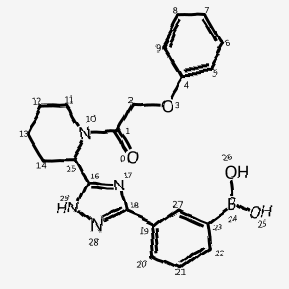 O=C(COc1ccccc1)N1CCCCC1c1nc(-c2cccc(B(O)O)c2)n[nH]1